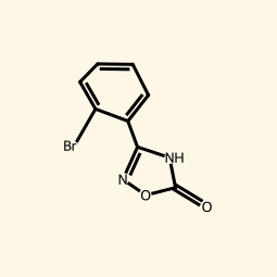 O=c1[nH]c(-c2ccccc2Br)no1